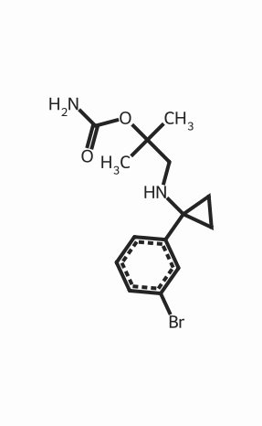 CC(C)(CNC1(c2cccc(Br)c2)CC1)OC(N)=O